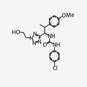 COc1ccc(C(C)C(NC(=O)Nc2ccc(Cl)cc2)c2nnn(CCO)n2)cc1